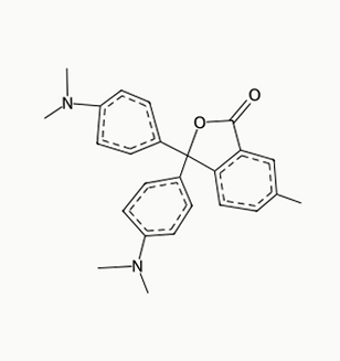 Cc1ccc2c(c1)C(=O)OC2(c1ccc(N(C)C)cc1)c1ccc(N(C)C)cc1